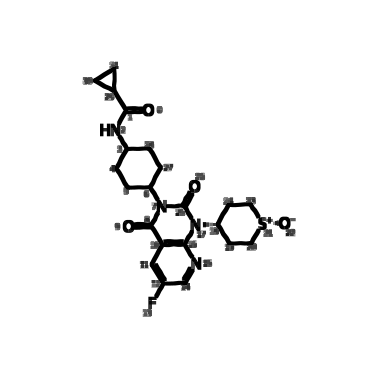 O=C(NC1CCC(n2c(=O)c3cc(F)cnc3n([C@H]3CC[S@@+]([O-])CC3)c2=O)CC1)C1CC1